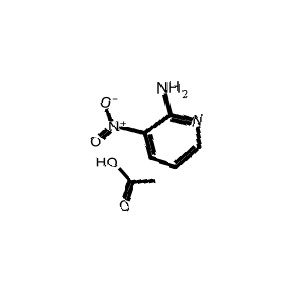 CC(=O)O.Nc1ncccc1[N+](=O)[O-]